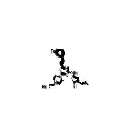 C/C=C/c1cc(Nc2nc(/C=C/c3cccc(F)c3)nc(N3CCN(CCO)CC3)n2)n[nH]1